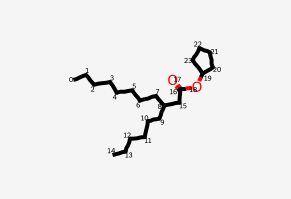 CCCCCCCCC(CCCCCC)CC(=O)OC1CCCC1